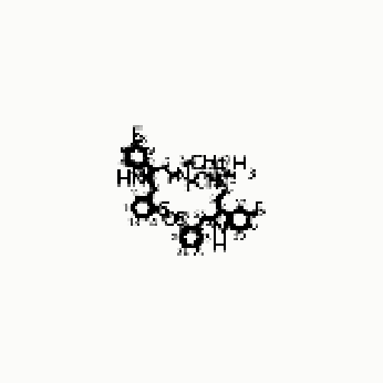 CCN(CC)CCc1c(Cc2ccccc2SOSc2ccccc2Cc2[nH]c3ccc(F)cc3c2CCN(CC)CC)[nH]c2ccc(F)cc12